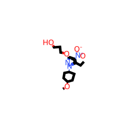 CCc1c([N+](=O)[O-])c(OCCCO)nn1[C@H]1CC[C@H](OC)CC1